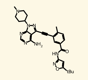 Cc1ccc(C(=O)Nc2cc(C(C)(C)C)on2)cc1C#Cc1nn(C2CCN(C)CC2)c2ncnc(N)c12